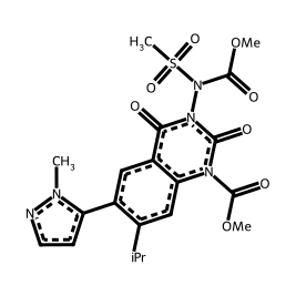 COC(=O)N(n1c(=O)c2cc(-c3ccnn3C)c(C(C)C)cc2n(C(=O)OC)c1=O)S(C)(=O)=O